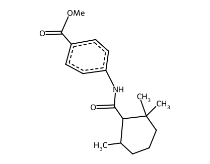 COC(=O)c1ccc(NC(=O)C2C(C)CCCC2(C)C)cc1